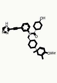 COC1=C(C)CC(C)([C@H]2CC[C@H](CN(c3cccc(C#Cc4nnc[nH]4)c3)C(=O)[C@H]3CC[C@H](O)CC3)CC2)C=C1